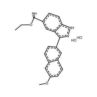 CCOC(=N)c1ccc2[nH]nc(-c3ccc4cc(OC)ccc4c3)c2c1.Cl.Cl